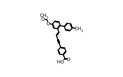 COCOc1ccc(-c2ccc(C)cc2)c(/C=C/C#Cc2ccc(C(=O)O)cc2)c1